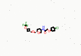 O=C(COc1ccc(Cl)cc1)N[C@@H]1CC[C@@H](COC[C@H]2C[C@@H](OC(F)(F)F)C2)OC1